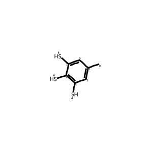 Cc1cc(S)c(S)c(S)c1